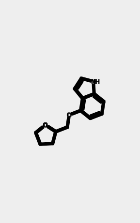 c1cc(OCC2CCCO2)c2cc[nH]c2c1